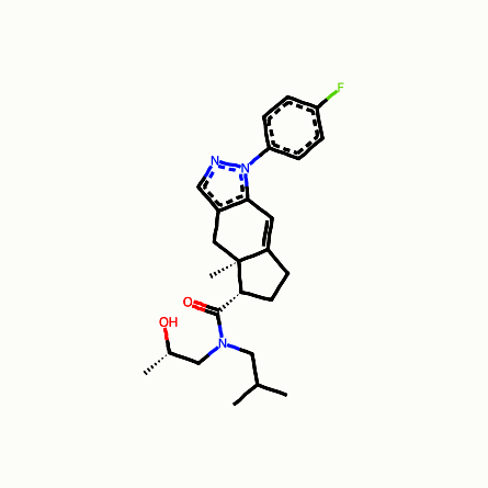 CC(C)CN(C[C@H](C)O)C(=O)[C@H]1CCC2=Cc3c(cnn3-c3ccc(F)cc3)C[C@@]21C